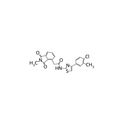 Cc1cc(-c2csc(NC(=O)Cc3cccc4c3C(=O)N(C)C4=O)n2)ccc1Cl